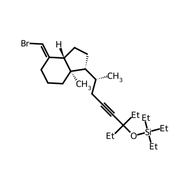 CCC(C#CC[C@@H](C)[C@H]1CC[C@H]2/C(=C/Br)CCC[C@]12C)(CC)O[Si](CC)(CC)CC